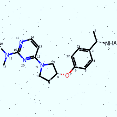 CC(=O)N[C@@H](C)c1ccc(O[C@@H]2CCN(c3ccnc(N(C)C(C)C)n3)C2)cc1